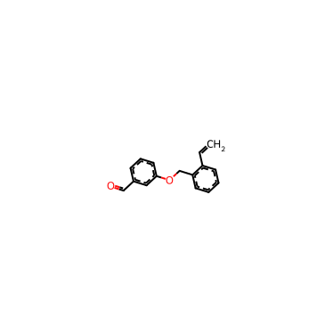 C=Cc1ccccc1COc1cccc(C=O)c1